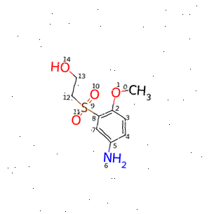 COc1ccc(N)cc1S(=O)(=O)CCO